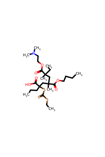 CCCCOC(=O)C(C)(CC(C)(CC)C(=O)OCCN(C)C)CC(CCC)(SC(=S)SCC)C(=O)O